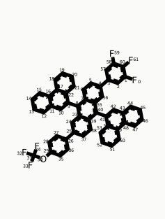 Fc1cc(-c2ccc3c(-c4cc5ccccc5c5ccccc45)c4cc(-c5ccc(OC(F)(F)F)cc5)ccc4c(-c4cc5ccccc5c5ccccc45)c3c2)cc(F)c1F